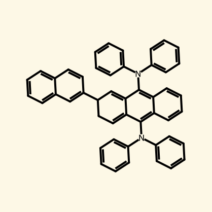 C1=c2c(N(c3ccccc3)c3ccccc3)c3ccccc3c(N(c3ccccc3)c3ccccc3)c2=CC(c2ccc3ccccc3c2)C1